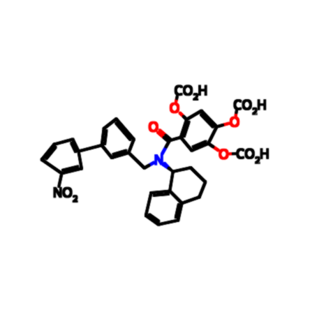 O=C(O)Oc1cc(OC(=O)O)c(C(=O)N(Cc2cccc(-c3cccc([N+](=O)[O-])c3)c2)[C@H]2CCCc3ccccc32)cc1OC(=O)O